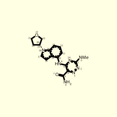 CNc1nnc(C(N)=O)c(Nc2cccc3c2ccn3[C@@H]2CCOC2)n1